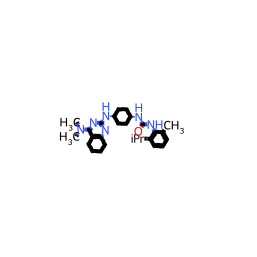 Cc1cccc(C(C)C)c1NC(=O)N[C@H]1CC[C@@H](Nc2nc3c(c(N(C)C)n2)CCCC3)CC1